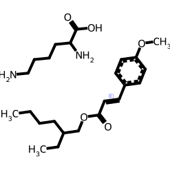 CCCCC(CC)COC(=O)/C=C/c1ccc(OC)cc1.NCCCCC(N)C(=O)O